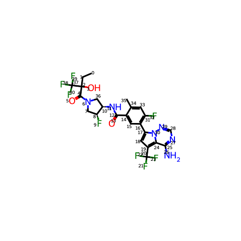 CCC(O)(C(=O)N1C[C@H](F)[C@H](NC(=O)c2cc(-c3cc(C(F)(F)F)c4c(N)ncnn34)c(F)cc2C)C1)C(F)(F)F